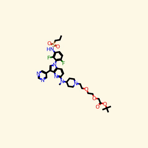 CCCS(=O)(=O)Nc1ccc(F)c(-n2cc(-c3cncnc3)c3nc(N(C)C4CCN(CCOCCOCC(=O)OC(C)(C)C)CC4)ccc32)c1F